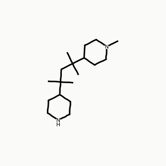 CN1CCC(C(C)(C)CC(C)(C)C2CCNCC2)CC1